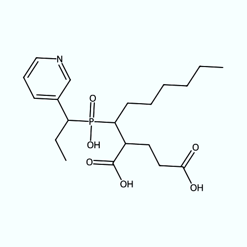 CCCCCCC(C(CCC(=O)O)C(=O)O)P(=O)(O)C(CC)c1cccnc1